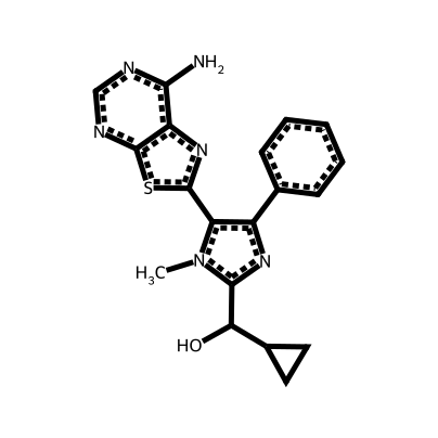 Cn1c(C(O)C2CC2)nc(-c2ccccc2)c1-c1nc2c(N)ncnc2s1